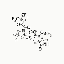 O=C(CC(C(F)(F)F)C(F)(F)F)C(=O)N1CC2(CC2)C[C@H]1C(=O)N[C@@H](C[C@@H]1CCNC1=O)C(=O)COC(F)(F)F